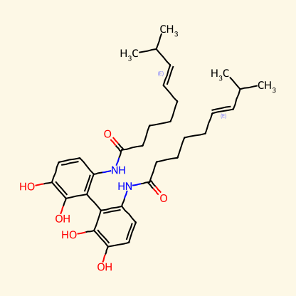 CC(C)/C=C/CCCCC(=O)Nc1ccc(O)c(O)c1-c1c(NC(=O)CCCC/C=C/C(C)C)ccc(O)c1O